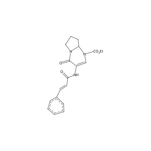 CCOC(=O)N1C=C(NC(=O)C=Cc2ccccc2)C(=O)N2CCCC12